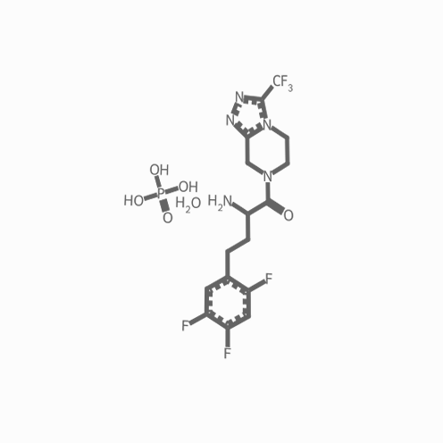 NC(CCc1cc(F)c(F)cc1F)C(=O)N1CCn2c(nnc2C(F)(F)F)C1.O.O=P(O)(O)O